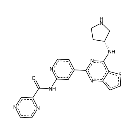 O=C(Nc1cc(-c2nc(N[C@@H]3CCNC3)c3sccc3n2)ccn1)c1cnccn1